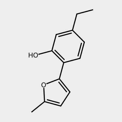 CCc1ccc(-c2ccc(C)o2)c(O)c1